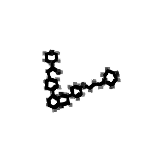 O=C(Cc1ccc(-c2cccc3ncc(-c4ccc(OCCCN5CCOCC5)cc4)nc23)cc1)N1CCOCC1